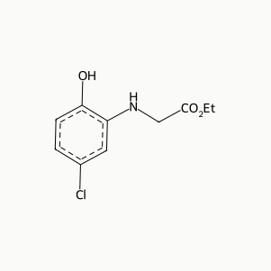 CCOC(=O)CNc1cc(Cl)ccc1O